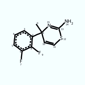 CC1(c2cccc(F)c2F)C=CSC(N)=N1